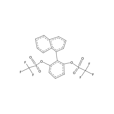 O=S(=O)(Oc1cccc(OS(=O)(=O)C(F)(F)F)c1-c1cccc2ccccc12)C(F)(F)F